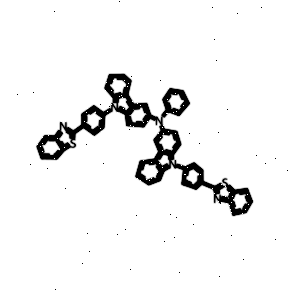 c1ccc(N(c2ccc3c(c2)c2ccccc2n3-c2ccc(-c3nc4ccccc4s3)cc2)c2ccc3c(c2)c2ccccc2n3-c2ccc(-c3nc4ccccc4s3)cc2)cc1